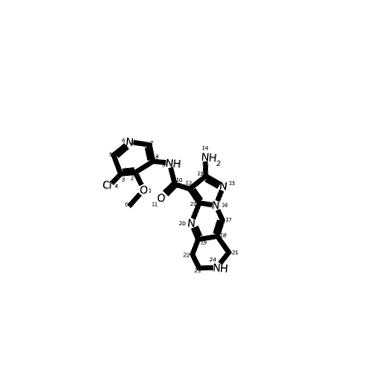 COc1c(Cl)cncc1NC(=O)c1c(N)nn2cc3c(nc12)CCNC3